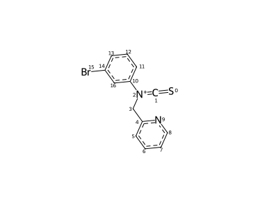 S=C=[N+](Cc1ccccn1)c1cccc(Br)c1